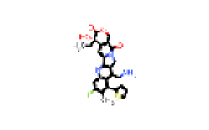 CC[C@@]1(O)C(=O)OCc2c1cc1n(c2=O)Cc2c-1nc1cc(F)c(C)c(-c3cccs3)c1c2CN